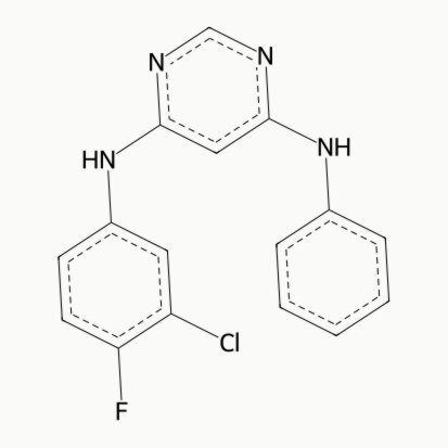 Fc1ccc(Nc2cc(Nc3ccccc3)ncn2)cc1Cl